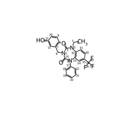 CCN1C(=O)N(Cc2cccc(O)c2)C(=O)N(c2ccccc2)c2cc(C(F)(F)F)ccc21